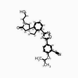 CC(C)Oc1ccc(-c2nc(-c3cccc4c3CC[C@@]43CC(=O)N(CCO)C3)no2)cc1C#N